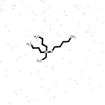 CCCCC[O][Sn]([CH2]C)([CH2]CCC)[CH2]CCC